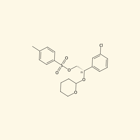 Cc1ccc(S(=O)(=O)OC[C@@H](OC2CCCCO2)c2cccc(Cl)c2)cc1